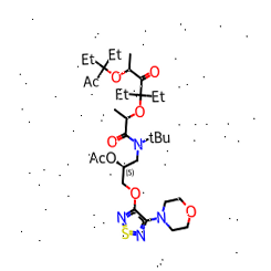 CCC(CC)(OC(C)C(=O)C(CC)(CC)OC(C)C(=O)N(C[C@@H](COc1nsnc1N1CCOCC1)OC(C)=O)C(C)(C)C)C(C)=O